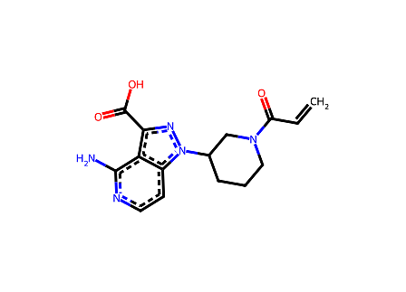 C=CC(=O)N1CCCC(n2nc(C(=O)O)c3c(N)nccc32)C1